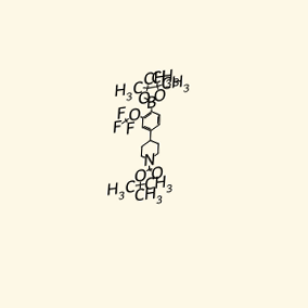 CC(C)(C)OC(=O)N1CCC(c2ccc(B3OC(C)(C)C(C)(C)O3)c(OC(F)(F)F)c2)CC1